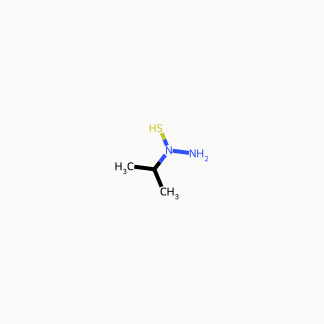 CC(C)N(N)S